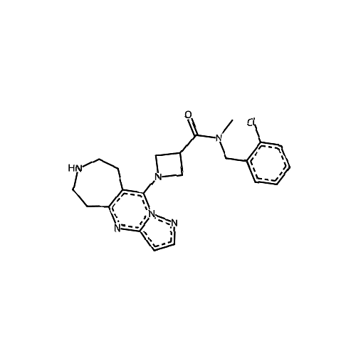 CN(Cc1ccccc1Cl)C(=O)C1CN(c2c3c(nc4ccnn24)CCNCC3)C1